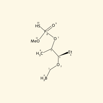 BCO[C@H](CC)C(C)OP(=O)(S)OC